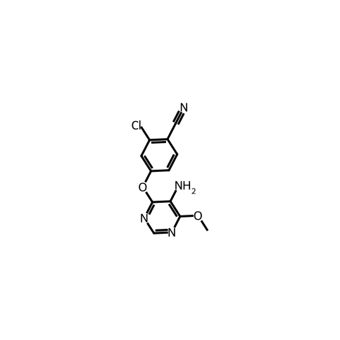 COc1ncnc(Oc2ccc(C#N)c(Cl)c2)c1N